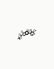 COc1ncnc(-c2ccc3c(c2)CN(C(=O)OC(C)(C)C)C3=O)c1N